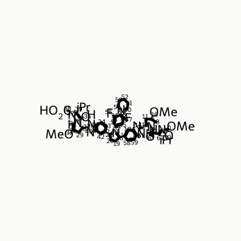 COC(=O)N[C@H](C(=O)N1C[C@@H](OC)C[C@H]1c1nc2cc([C@H]3CC[C@H](c4ccc5[nH]c([C@@H]6C[C@H](OC)CN6C(=O)[C@@H](NC(=O)O)C(C)C)nc5c4)N3c3cc(F)c(N4CCCCC4)c(F)c3)ccc2[nH]1)C(C)C